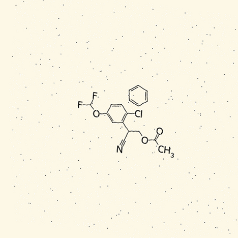 CC(=O)OCC(C#N)c1cc(OC(F)F)ccc1Cl.c1ccccc1